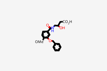 COc1ccc(C(=O)NCC(O)CC(=O)O)cc1OCc1ccccc1